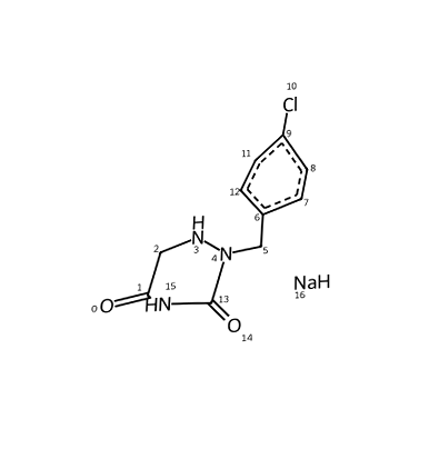 O=C1CNN(Cc2ccc(Cl)cc2)C(=O)N1.[NaH]